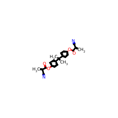 C=C(C#N)C(=O)Oc1ccc(C(C)(C)c2ccc(OC(=O)C(=C)C#N)cc2)cc1